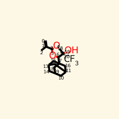 C=C(C)C(=O)OC(C12CC3CC(CC(C3)C1)C2)C(C)(O)C(F)(F)F